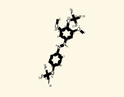 COc1cc(N=Nc2c[c]c(OC(F)(F)F)cc2)cc(OC)c1OC(F)(F)F